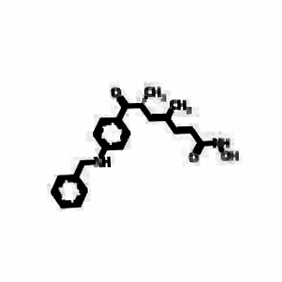 CC(/C=C/C(=O)NO)=C\[C@@H](C)C(=O)c1ccc(NCc2ccccc2)cc1